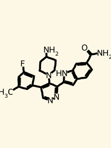 Cc1cc(F)cc(-c2cnnc(-c3cc4ccc(C(N)=O)cc4[nH]3)c2N2CCC(N)CC2)c1